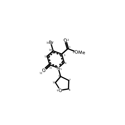 COC(=O)c1cn(C2CCOC2)c(=O)cc1Br